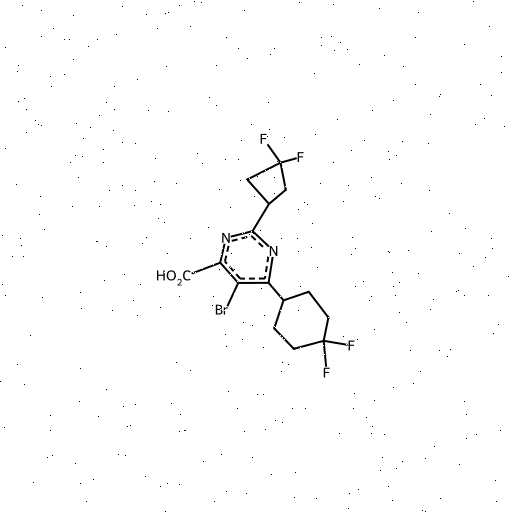 O=C(O)c1nc(C2CC(F)(F)C2)nc(C2CCC(F)(F)CC2)c1Br